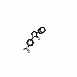 O=C1C(N2C3CCC2CC3)CCN1c1ccc([N+](=O)[O-])cc1